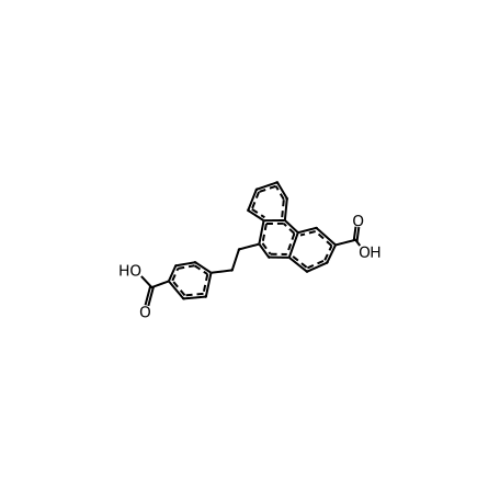 O=C(O)c1ccc(CCc2cc3ccc(C(=O)O)cc3c3ccccc23)cc1